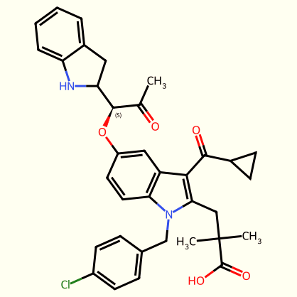 CC(=O)[C@@H](Oc1ccc2c(c1)c(C(=O)C1CC1)c(CC(C)(C)C(=O)O)n2Cc1ccc(Cl)cc1)C1Cc2ccccc2N1